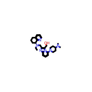 CCN(Cc1nc2cccc(N3CCC(N(C)C)CC3)n2c1CO)[C@H]1CCCc2cccnc21